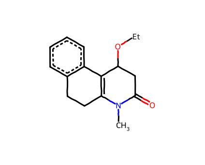 CCOC1CC(=O)N(C)C2=C1c1ccccc1CC2